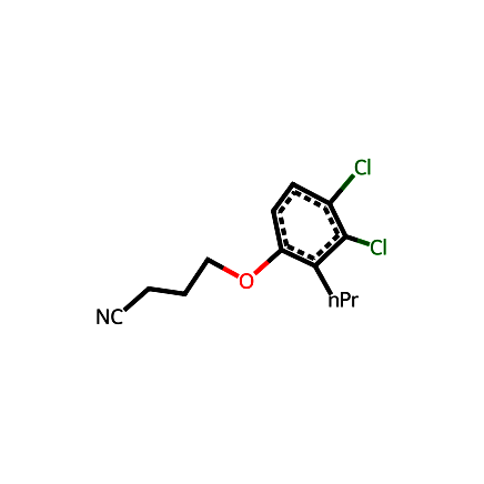 CCCc1c(OCCCC#N)ccc(Cl)c1Cl